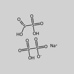 O=S(=O)([O-])S(=O)(=O)O.O=S(O)S(=O)(=O)O.[Na+]